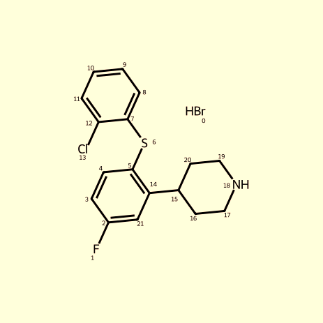 Br.Fc1ccc(Sc2ccccc2Cl)c(C2CCNCC2)c1